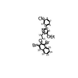 CCOc1cc(-c2cccc(Cl)c2)nn1CCOc1c(Br)cc2ccccc2c1Br